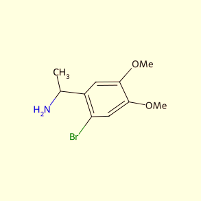 COc1cc(Br)c(C(C)N)cc1OC